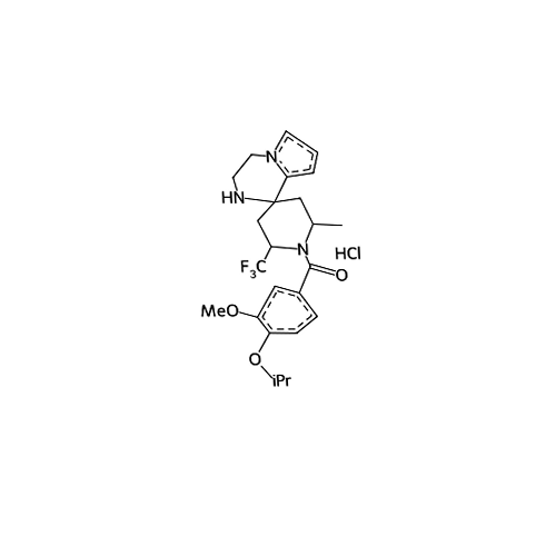 COc1cc(C(=O)N2C(C)CC3(CC2C(F)(F)F)NCCn2cccc23)ccc1OC(C)C.Cl